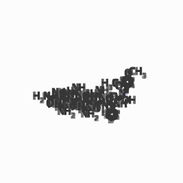 COc1ccc(/C=N/C(O)C(=O)NC(C(=O)NC(NC(=N)N)C(=O)NC(NC(=N)N)C(=O)NC(NC(=N)N)C(=O)NC(NC(=N)N)C(=O)NC(N)C(N)=O)c2ccccc2)c(OC)c1